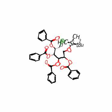 CC(C)(C)[Si](C)(C)OC[C@@H](OC(=O)c1ccccc1)[C@@H](OC(=O)c1ccccc1)[C@H](OC(=O)c1ccccc1)[C@@H](CBr)OC(=O)c1ccccc1